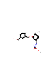 COc1ccc(CNC(=O)OC(C)(C)C)cc1OCc1cccc(CO)c1